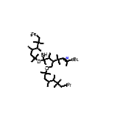 BC(C)(OC(C)(C)CC(C)C(C)C(C)(C)CC(C)C)C(C)C(COC(C)(C)CC(C)C(C)C(C)(C)CC(C)C)C(C)(C)/C=C(\C)C(C)(C)C